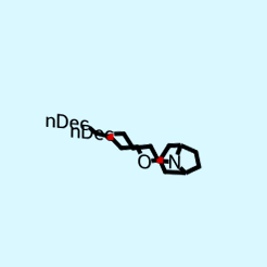 CCCCCCCCCCCCCCOC1CC2CCC(C1)N2CCCCCCCCCCCCCC